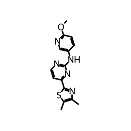 COc1ccc(Nc2nccc(-c3nc(C)c(C)s3)n2)cn1